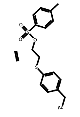 C=C.CC(=O)Cc1ccc(SCCOS(=O)(=O)c2ccc(C)cc2)cc1